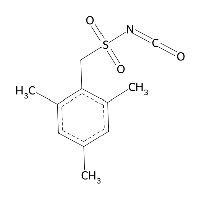 Cc1cc(C)c(CS(=O)(=O)N=C=O)c(C)c1